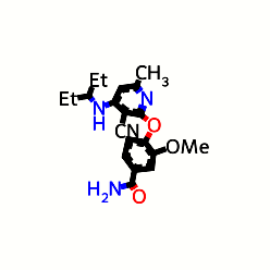 CCC(CC)Nc1cc(C)nc(Oc2ccc(C(N)=O)cc2OC)c1C#N